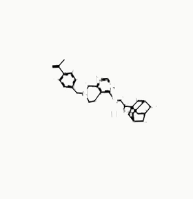 C=C(C)c1ccc(CN2CCc3c(ncnc3NCC(O)C34CC5CC(CC(C5)C3)C4)C2)cc1